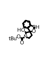 CC(C)(C)OC(=O)N1CCC2(OBc3ccccc32)C1O